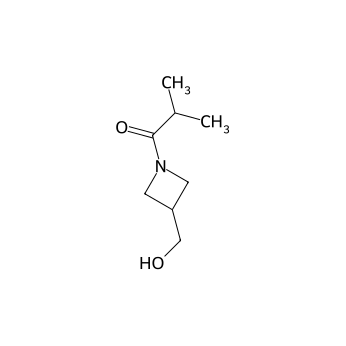 CC(C)C(=O)N1CC(CO)C1